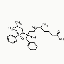 CC(C)CN(C(O)(CCNC(C)CCCC(N)=O)Cc1ccccc1)S(=O)(=O)c1ccccc1